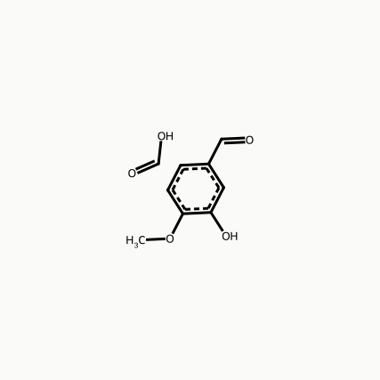 COc1ccc(C=O)cc1O.O=CO